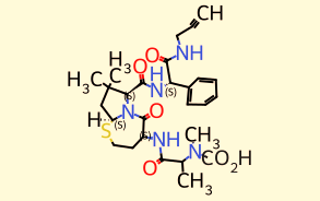 C#CCNC(=O)[C@@H](NC(=O)[C@H]1N2C(=O)[C@@H](NC(=O)C(C)N(C)C(=O)O)CCS[C@H]2CC1(C)C)c1ccccc1